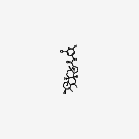 CC1=C2N(C)C(=O)CC[C@]2(C)[C@@H]2CC[C@]3(C)C(C(=O)Nc4cc(Cl)nc(Cl)c4)CC[C@H]3[C@@H]2C1